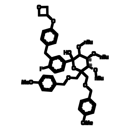 CCCCOC1[C@@H](OCCCC)[C@H](OCCCC)C(COCc2ccc(OC)cc2)(COCc2ccc(OC)cc2)OC1(O)c1ccc(F)c(Cc2ccc(OC3COC3)cc2)c1